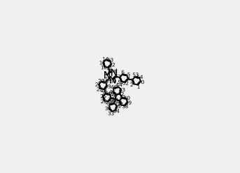 c1ccc(-c2ccc(-c3nc(-c4ccccc4)nc(-c4cccc(-c5cccc(C6(c7ccccc7)c7ccccc7-c7ccccc76)c5)c4)n3)cc2)cc1